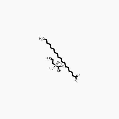 C=CC[N+](C)(C)C(C)O.CCCCCCCCCCCCCCCCCC(=O)[O-]